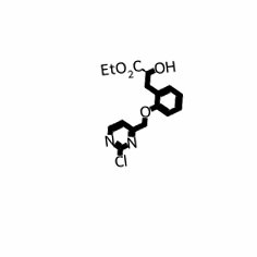 CCOC(=O)[C@H](O)Cc1ccccc1OCc1ccnc(Cl)n1